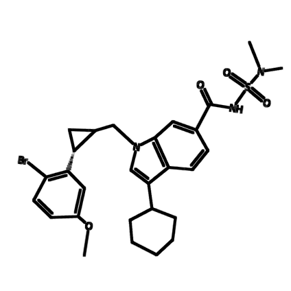 COc1ccc(Br)c([C@@H]2CC2Cn2cc(C3CCCCC3)c3ccc(C(=O)NS(=O)(=O)N(C)C)cc32)c1